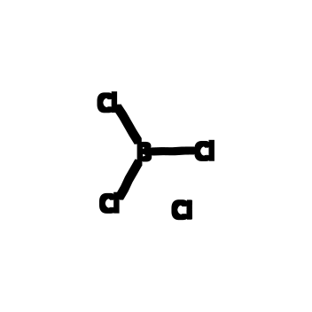 ClB(Cl)Cl.[C]